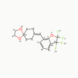 FC1(F)Oc2c(C=C3CCC4(CC3)OCCO4)cccc2C1(F)F